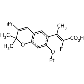 CCOc1cc2c(cc1C(C)=C(F)C(=O)O)C=C(C(C)C)C(C)(C)O2